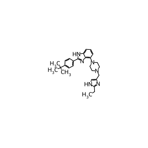 CCc1nc(CN2CCN(c3cccc4[nH]c(-c5ccc(C(C)(C)C)cc5)nc34)CC2)c[nH]1